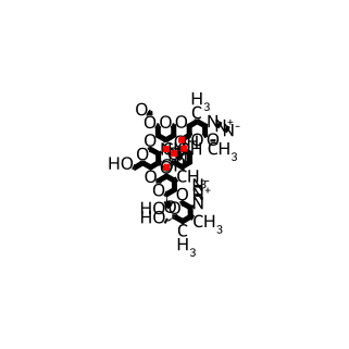 CO[C@H]1OC(CO)[C@@H](O[C@H]2OC(OC=O)[C@@H](O[C@H]3OC(CO)[C@@H](O[C@@H]4O[C@@H](C(=O)O)[C@@H](O[C@H]5O[C@@H](CO)[C@@H](C)C(C)[C@@H]5N=[N+]=[N-])C(C)[C@@H]4OC4CCCCO4)C(O)[C@@H]3N=[N+]=[N-])C(C)[C@@H]2O)C(C)[C@@H]1N=[N+]=[N-]